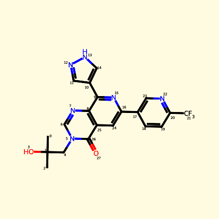 CC(C)(O)Cn1cnc2c(-c3cn[nH]c3)nc(-c3ccc(C(F)(F)F)nc3)cc2c1=O